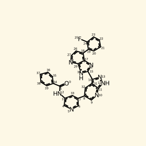 O=C(Nc1cncc(-c2cnc3[nH]nc(-c4nc5c(-c6ccccc6F)ccnc5[nH]4)c3c2)c1)c1ccccc1